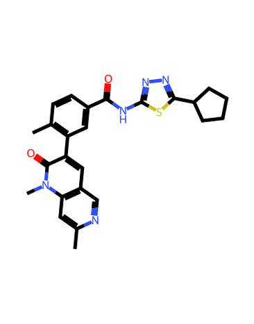 Cc1cc2c(cn1)cc(-c1cc(C(=O)Nc3nnc(C4CCCC4)s3)ccc1C)c(=O)n2C